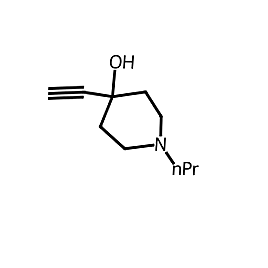 C#CC1(O)CCN(CCC)CC1